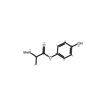 CNC(C)C(=O)Oc1ccc(O)cc1